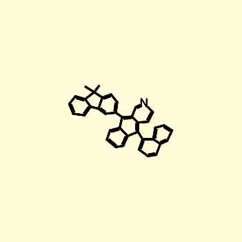 CC1(C)c2ccccc2-c2cc(-c3c4ccccc4c(-c4cccc5ccccc45)c4ccncc34)ccc21